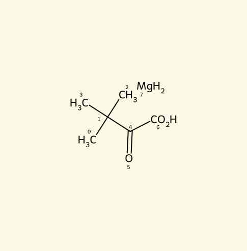 CC(C)(C)C(=O)C(=O)O.[MgH2]